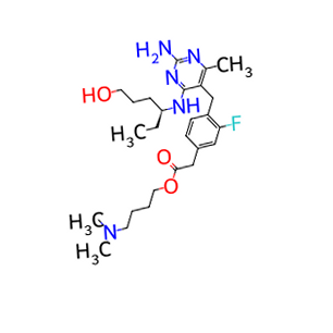 CC[C@@H](CCCO)Nc1nc(N)nc(C)c1Cc1ccc(CC(=O)OCCCCN(C)C)cc1F